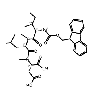 CC[C@H](C)[C@H](NC(=O)OCC1c2ccccc2-c2ccccc21)C(=O)N(C)[C@@H](CC(C)C)C(=O)N(C)[C@@H](CC(=O)O)C(=O)O